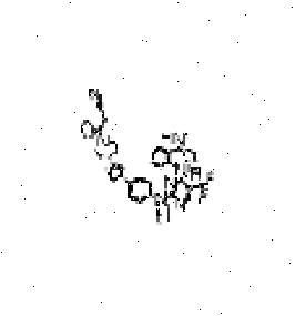 CNC(=O)c1ccccc1Nc1nc(Nc2ccc(-c3cnn(C4CCN(C(=O)CC#N)CC4)c3)cc2)ncc1C(F)(F)F